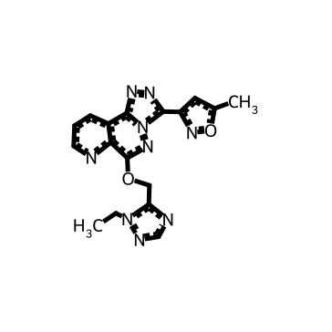 CCn1ncnc1COc1nn2c(-c3cc(C)on3)nnc2c2cccnc12